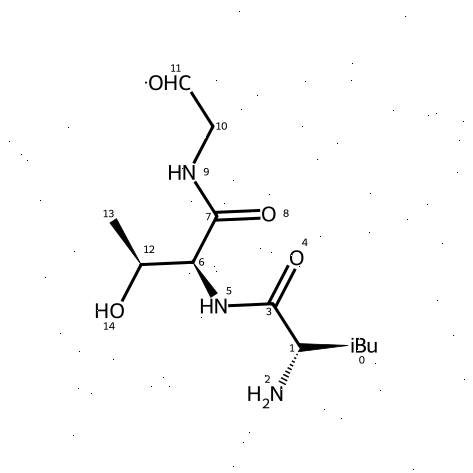 CC[C@H](C)[C@H](N)C(=O)N[C@H](C(=O)NC[C]=O)[C@H](C)O